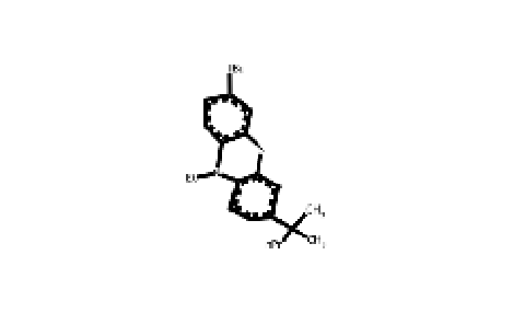 CCCC(C)(C)c1ccc2c(c1)Sc1cc(C(C)(C)C)ccc1N2CC